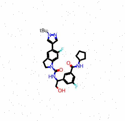 CC(C)(C)n1cc(-c2cc3c(cc2F)N(C(=O)NC(CO)c2cc(F)cc(C(=O)NC4CCCC4)c2)CC3)cn1